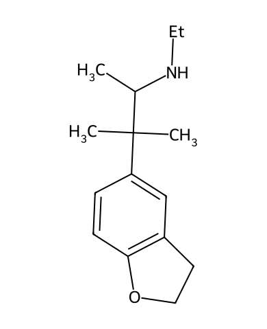 CCNC(C)C(C)(C)c1ccc2c(c1)CCO2